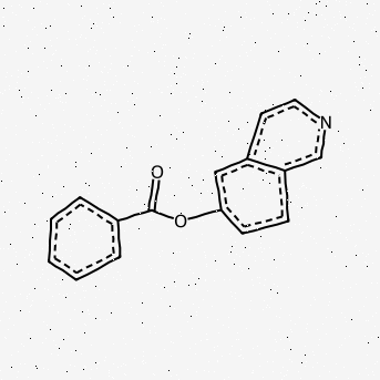 O=C(Oc1ccc2cnccc2c1)c1ccccc1